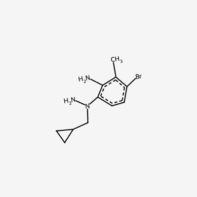 Cc1c(Br)ccc(N(N)CC2CC2)c1N